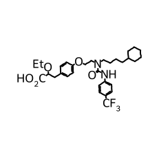 CCOC(Cc1ccc(OCCN(CCCCC2CCCCC2)C(=O)Nc2ccc(C(F)(F)F)cc2)cc1)C(=O)O